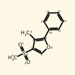 Cc1c(S(C)(=O)=O)coc1-c1ccccc1